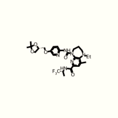 CCN1CCCN(C(=O)Nc2ccc(OC[C@@H]3COC(C)(C)O3)cn2)c2nc(C(=O)N[C@H](C)C(F)(F)F)cc(C)c21